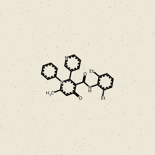 CCc1cccc(CC)c1NC(=O)c1c(-c2cccnc2)n(-c2ccccc2)c(C)cc1=O